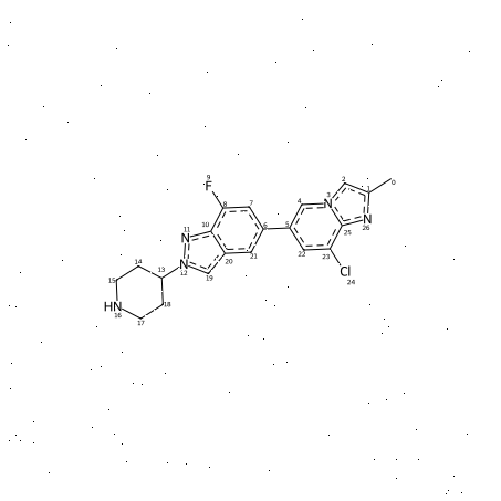 Cc1cn2cc(-c3cc(F)c4nn(C5CCNCC5)cc4c3)cc(Cl)c2n1